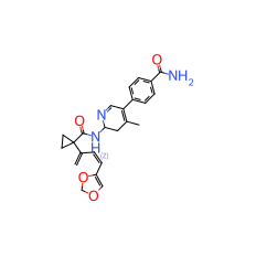 C=C(/C=C\C1=COCO1)C1(C(=O)NC2CC(C)=C(c3ccc(C(N)=O)cc3)C=N2)CC1